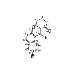 O=C1CCCC(=O)C1C(=O)c1c(Cl)ccc2cc(Br)cnc12